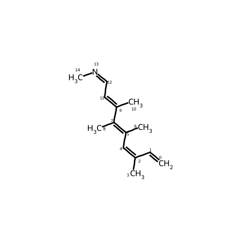 C=C\C(C)=C/C(C)=C(C)/C(C)=C/C=N\C